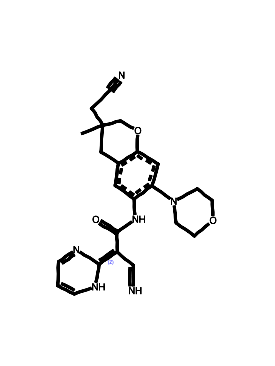 CC1(CC#N)COc2cc(N3CCOCC3)c(NC(=O)/C(C=N)=C3\N=CC=CN3)cc2C1